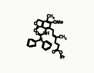 COc1c(C)c2c(c(NC(=O)N(c3ccccc3)c3ccccc3)c1C/C=C(\C)CCC(=O)OC(C)C)C(=O)OC2